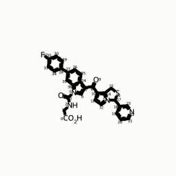 O=C(O)CNC(=O)n1cc(C(=O)c2ccn3c2CSC3c2cccnc2)c2ccc(-c3ccc(F)cc3)cc21